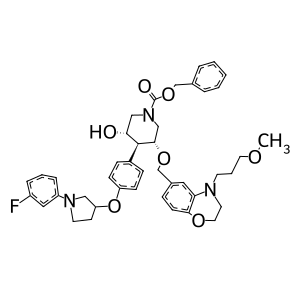 COCCCN1CCOc2ccc(CO[C@H]3CN(C(=O)OCc4ccccc4)C[C@@H](O)[C@@H]3c3ccc(OC4CCN(c5cccc(F)c5)C4)cc3)cc21